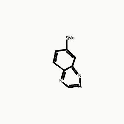 CSc1ccc2nccnc2c1